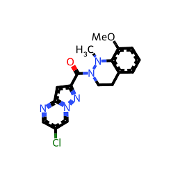 COc1cccc2c1N(C)N(C(=O)c1cc3ncc(Cl)cn3n1)CC2